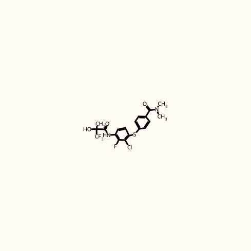 CN(C)C(=O)c1ccc(Sc2ccc(NC(=O)C(C)(O)C(F)(F)F)c(F)c2Cl)cc1